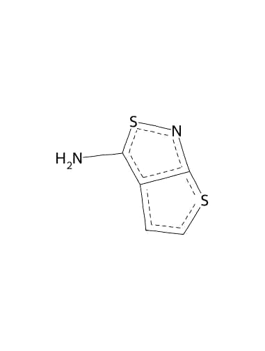 Nc1snc2sccc12